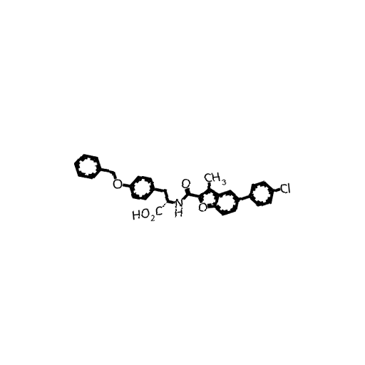 Cc1c(C(=O)N[C@@H](Cc2ccc(OCc3ccccc3)cc2)C(=O)O)oc2ccc(-c3ccc(Cl)cc3)cc12